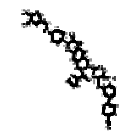 N#Cc1ccc(-c2cccc(CC(NC(=O)[C@@H]3Cc4cc5c(cc4CN3C(=O)c3cccs3)O[C@@H](c3ccc(OCc4cnc(Cl)c(Cl)c4)cc3)C(=O)N5)C(=O)O)c2)cc1